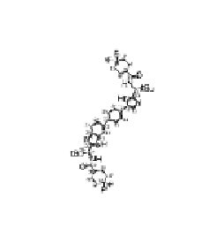 CC(C)(C)[C@H](NC(=O)C1CCC(F)(F)CC1)c1ncc(-c2ccc(-c3ccc4nc([C@@H](NC(=O)C5CCC(F)(F)CC5)C(C)(C)C)[nH]c4c3)cc2)[nH]1